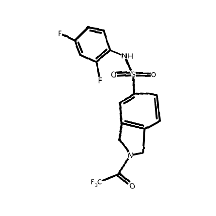 O=C(N1Cc2ccc(S(=O)(=O)Nc3ccc(F)cc3F)cc2C1)C(F)(F)F